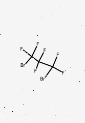 FC(F)(Br)C(F)(F)C(F)(F)Br